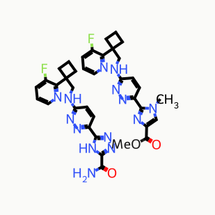 COC(=O)c1cn(C)c(-c2ccc(NCC3(c4ncccc4F)CCC3)nn2)n1.NC(=O)c1nnc(-c2ccc(NCC3(c4ncccc4F)CCC3)nn2)[nH]1